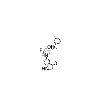 Cc1cc(C)cc(C(C)(C)CC(O)(CNc2ccc3[nH]ccc(=O)c3c2)C(F)(F)F)c1